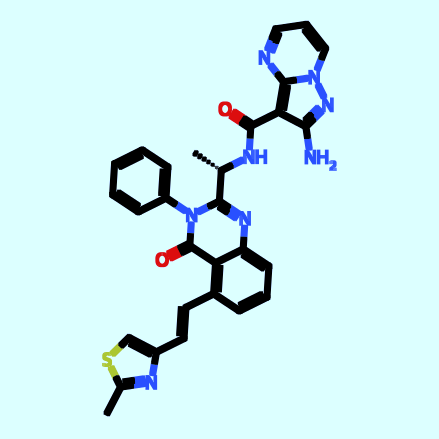 Cc1nc(/C=C/c2cccc3nc([C@H](C)NC(=O)c4c(N)nn5cccnc45)n(-c4ccccc4)c(=O)c23)cs1